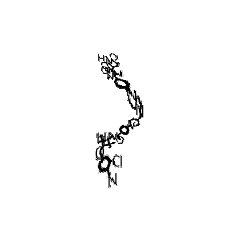 Cn1c(-c2ccc(N3CCN(CC4CCN(c5ccc(C(=O)NC6C(C)(C)C(Oc7ccc(C#N)c(Cl)c7)C6(C)C)cc5)CC4)CC3)cc2)nn(C2CCC(=O)NC2=O)c1=O